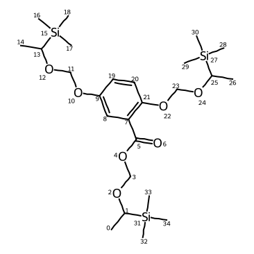 CC(OCOC(=O)c1cc(OCOC(C)[Si](C)(C)C)ccc1OCOC(C)[Si](C)(C)C)[Si](C)(C)C